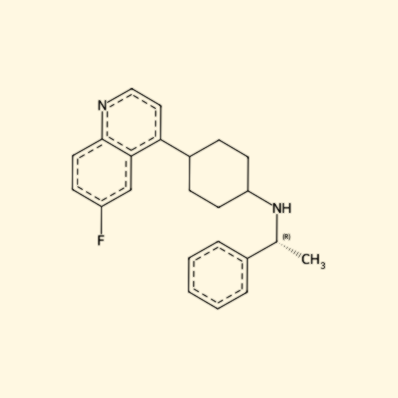 C[C@@H](NC1CCC(c2ccnc3ccc(F)cc23)CC1)c1ccccc1